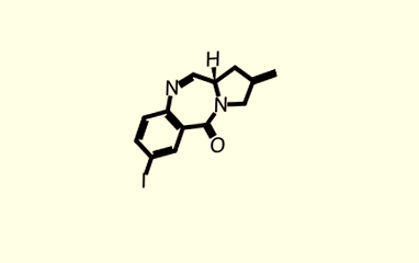 C=C1C[C@H]2C=Nc3ccc(I)cc3C(=O)N2C1